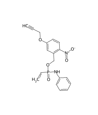 C#CCOc1ccc([N+](=O)[O-])c(COP(=O)(C=C)Nc2ccccc2)c1